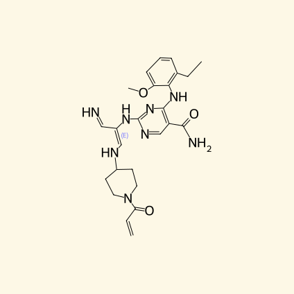 C=CC(=O)N1CCC(N/C=C(\C=N)Nc2ncc(C(N)=O)c(Nc3c(CC)cccc3OC)n2)CC1